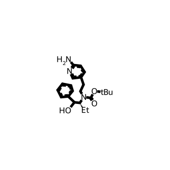 CC[C@H](C(O)c1ccccc1)N(CCc1ccc(N)nc1)C(=O)OC(C)(C)C